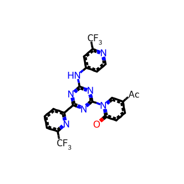 CC(=O)c1ccc(=O)n(-c2nc(Nc3ccnc(C(F)(F)F)c3)nc(-c3cccc(C(F)(F)F)n3)n2)c1